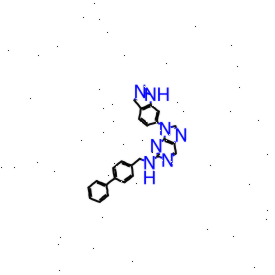 c1ccc(-c2ccc(CNc3ncc4ncn(-c5ccc6cn[nH]c6c5)c4n3)cc2)cc1